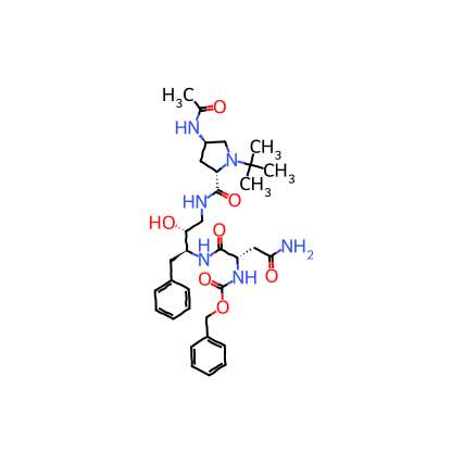 CC(=O)N[C@@H]1C[C@@H](C(=O)NC[C@@H](O)[C@H](Cc2ccccc2)NC(=O)[C@H](CC(N)=O)NC(=O)OCc2ccccc2)N(C(C)(C)C)C1